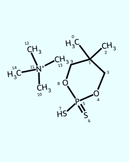 CC1(C)COP(=S)(S)OC1.C[N+](C)(C)C